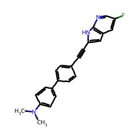 CN(C)c1ccc(-c2ccc(C#Cc3cc4cc(F)cnc4[nH]3)cc2)cc1